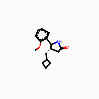 COc1ccccc1C1NC(=O)C[C@@H]1CC1CCC1